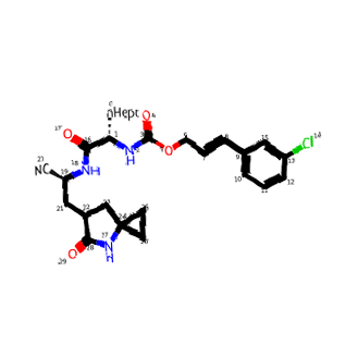 CCCCCCC[C@H](NC(=O)OC/C=C/c1cccc(Cl)c1)C(=O)N[C@H](C#N)CC1CC2(CC2)NC1=O